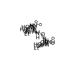 C=C(CCC(=O)C[C@@H]1CCN(c2nc(NCC(c3ccccc3)c3ccccc3)c3ncn([C@@H]4C[C@H](CC(=O)CC)[C@@H](O)[C@H]4O)c3n2)C1)N[C@@H]1CCN(c2nc(NCC(c3ccccc3)c3ccccc3)c3ncn([C@@H]4C[C@H](NC(=O)CC)[C@@H](O)[C@H]4O)c3n2)C1